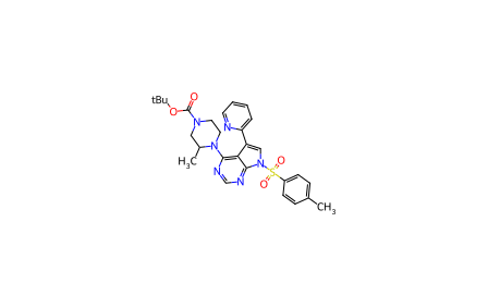 Cc1ccc(S(=O)(=O)n2cc(-c3ccccn3)c3c(N4CCN(C(=O)OC(C)(C)C)CC4C)ncnc32)cc1